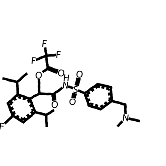 CC(C)c1cc(F)cc(C(C)C)c1C(OC(=O)C(F)(F)F)C(=O)NS(=O)(=O)c1ccc(CN(C)C)cc1